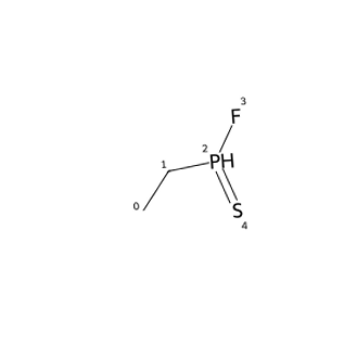 CC[PH](F)=S